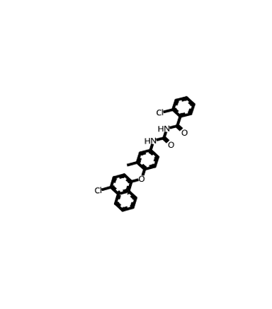 Cc1cc(NC(=O)NC(=O)c2ccccc2Cl)ccc1Oc1ccc(Cl)c2ccccc12